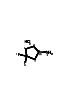 Cl.N[C@@H]1CCC(F)(F)C1